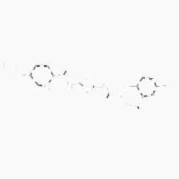 O=C(NC12CC(NC(=O)[C@H]3CC(=O)c4cc(Cl)ccc4O3)(C1)C2)c1ccc(OC(F)(F)F)cn1